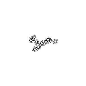 c1ccc(-c2nc3ccc4cc(-c5ccc(N(c6ccc(-n7c8ccccc8c8ccccc87)cc6)c6ccc7oc8ccccc8c7c6)cc5)ccc4c3o2)cc1